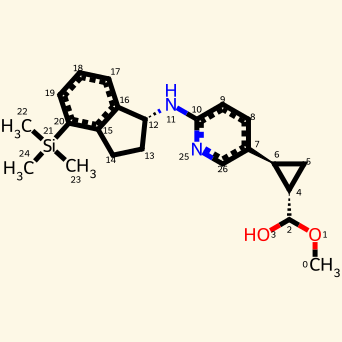 COC(O)[C@H]1C[C@@H]1c1ccc(N[C@@H]2CCc3c2cccc3[Si](C)(C)C)nc1